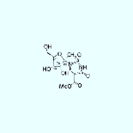 COC(=O)c1cn([C@]2(C)O[C@H](CO)[C@@H](O)[C@H]2O)c(=O)[nH]c1=O